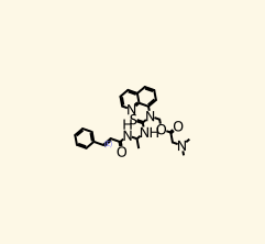 CC(NC(=O)/C=C/c1ccccc1)NC(=S)N(COC(=O)CN(C)C)c1cccc2cccnc12